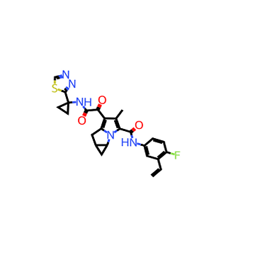 C=Cc1cc(NC(=O)c2c(C)c(C(=O)C(=O)NC3(c4nncs4)CC3)c3n2C2CC2C3)ccc1F